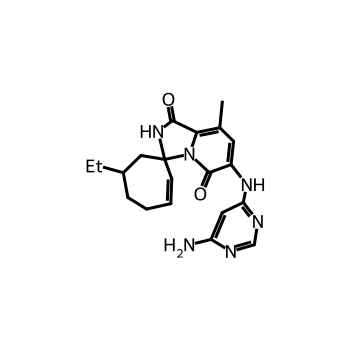 CCC1CCC=CC2(C1)NC(=O)c1c(C)cc(Nc3cc(N)ncn3)c(=O)n12